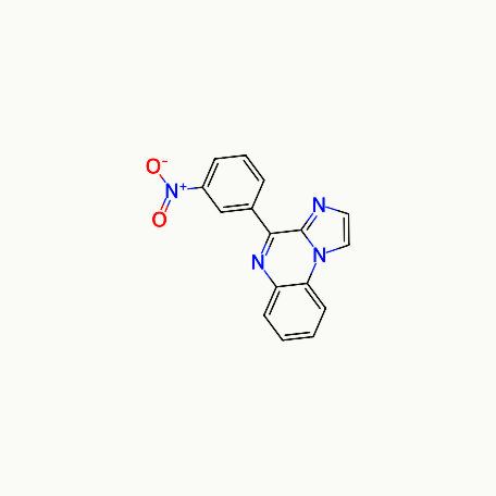 O=[N+]([O-])c1cccc(-c2nc3ccccc3n3ccnc23)c1